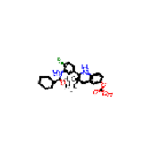 CC1(C)Cc2cc(OC(=O)O)ccc2NC1c1ccc(F)c(NC(=O)C2CCCCC2)c1